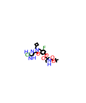 CCC(C)(NC(=O)OC(C)(C)C)C(=O)Oc1ccc(CN(CC2CCC2)C(=O)/C(N)=C/C(=N)Cl)c(F)c1